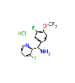 Cl.NC(c1ccc(OC(F)(F)F)c(F)c1)c1ncccc1F